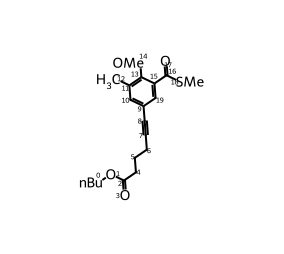 CCCCOC(=O)CCCC#Cc1cc(C)c(OC)c(C(=O)SC)c1